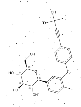 CCC(C)(O)C#Cc1ccc(Cc2cc([C@@H]3O[C@H](CO)[C@@H](O)[C@H](O)[C@H]3O)ccc2C)cc1